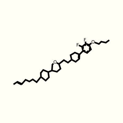 C/C=C/CCCCC1CCC(C2CCC(CCC3CC=C(c4ccc(OCCCC)c(F)c4F)CC3)OC2)CC1